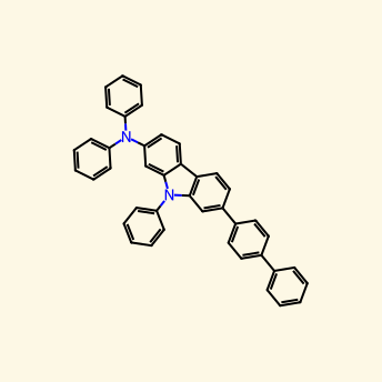 c1ccc(-c2ccc(-c3ccc4c5ccc(N(c6ccccc6)c6ccccc6)cc5n(-c5ccccc5)c4c3)cc2)cc1